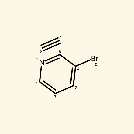 Brc1cccnc1.C#C